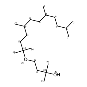 CC(C)CCC(C)CCC(C)CCC(C)(C)OCCC(C)(C)O